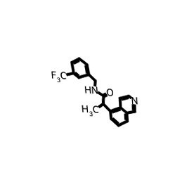 CC(C(=O)NCc1cccc(C(F)(F)F)c1)c1cccc2cnccc12